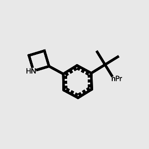 CCCC(C)(C)c1cccc(C2CCN2)c1